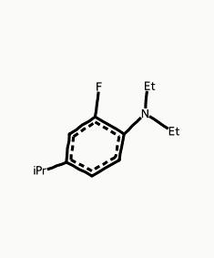 CCN(CC)c1ccc(C(C)C)cc1F